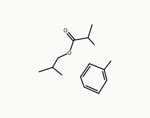 CC(C)COC(=O)C(C)C.Cc1ccccc1